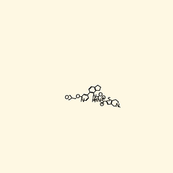 CN1CCc2sc(S(=O)(=O)NC(=O)Nc3c(-c4ccnc(OCC5COC5)c4)ccc4c3CCC4)cc2C1